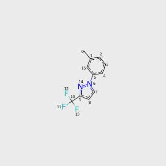 Cc1[c]ccc(-n2ccc(C(F)(F)F)n2)c1